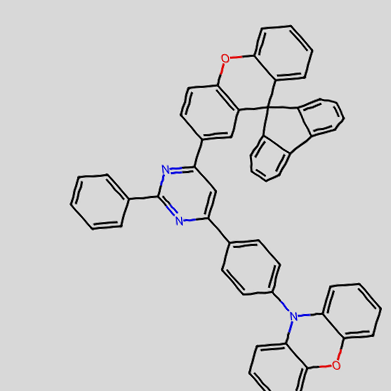 c1ccc(-c2nc(-c3ccc(N4c5ccccc5Oc5ccccc54)cc3)cc(-c3ccc4c(c3)C3(c5ccccc5O4)c4ccccc4-c4ccccc43)n2)cc1